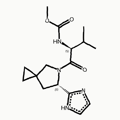 COC(=O)N[C@H](C(=O)N1CC2(CC2)C[C@H]1c1ncc[nH]1)C(C)C